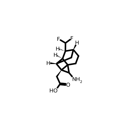 NC1C23CC[C@@H]4C[C@@H]([C@H]2[C@H]4C(F)F)[C@@]13CC(=O)O